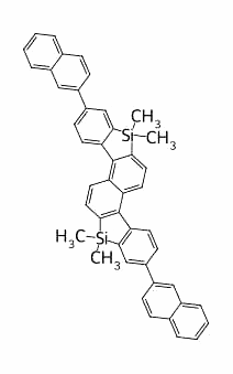 C[Si]1(C)c2cc(-c3ccc4ccccc4c3)ccc2-c2c1ccc1c3c(ccc21)[Si](C)(C)c1cc(-c2ccc4ccccc4c2)ccc1-3